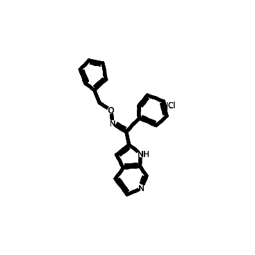 Cl.c1ccc(CON=C(c2ccccc2)c2cc3ccncc3[nH]2)cc1